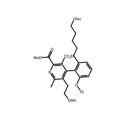 CCCCCCCCCCCCCCCc1cccc(OCC)c1-c1c(CCOC)c(C)nc(C(=O)OC)c1C(=O)OCC